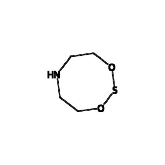 C1COSOCCN1